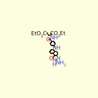 CCOC(=O)CCC(NC(=O)c1ccc(Nc2cccc3c2CCc2nc(N)[nH]c(=O)c2-3)cc1)C(=O)OCC